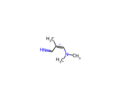 C/C(C=N)=C/N(C)C